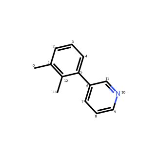 Cc1cccc(-c2cccnc2)c1C